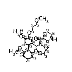 COCCCOc1cc(CN(C(=O)[C@H]2CNCCO2)C2CC2)c(-c2c(OC)cccc2OC)cc1OC